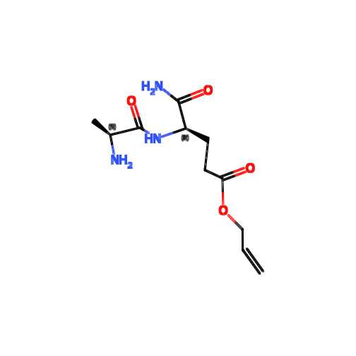 C=CCOC(=O)CC[C@@H](NC(=O)[C@H](C)N)C(N)=O